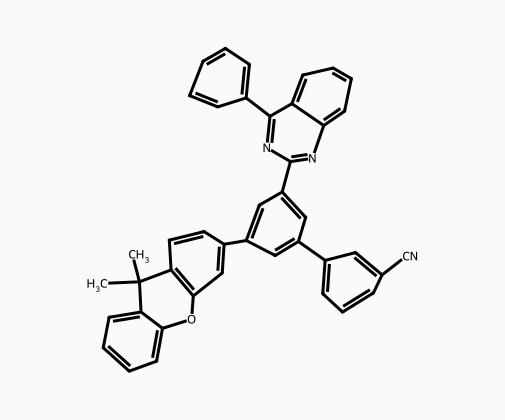 CC1(C)c2ccccc2Oc2cc(-c3cc(-c4cccc(C#N)c4)cc(-c4nc(-c5ccccc5)c5ccccc5n4)c3)ccc21